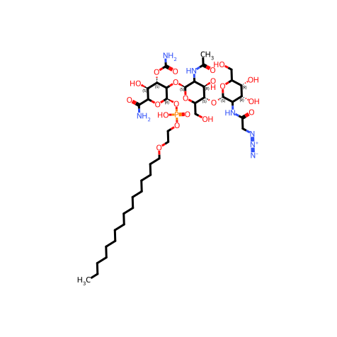 CCCCCCCCCCCCCCCCOCCOP(=O)(O)O[C@H]1OC(C(N)=O)[C@@H](O)[C@H](OC(N)=O)C1O[C@@H]1OC(CO)[C@@H](O[C@@H]2OC(CO)[C@H](O)[C@H](O)C2NC(=O)CN=[N+]=[N-])[C@H](O)C1NC(C)=O